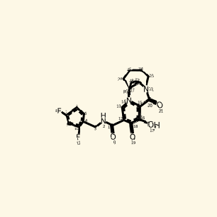 O=C(NCc1ccc(F)cc1F)c1cn2c(c(O)c1=O)C(=O)N1CCCC[C@]23CC13